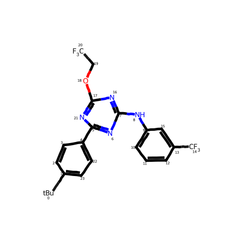 CC(C)(C)c1ccc(-c2nc(Nc3cccc(C(F)(F)F)c3)nc(OCC(F)(F)F)n2)cc1